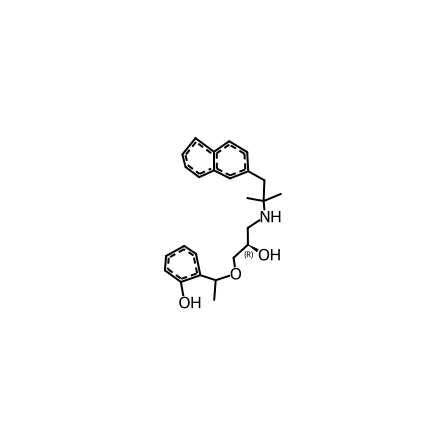 CC(OC[C@H](O)CNC(C)(C)Cc1ccc2ccccc2c1)c1ccccc1O